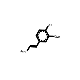 COc1cc(C=CNC(C)=O)ccc1O